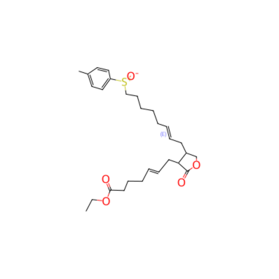 CCOC(=O)CCCC=CCC1C(=O)OCC1C/C=C/CCCCC[S+]([O-])c1ccc(C)cc1